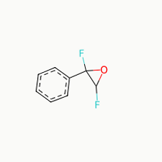 FC1OC1(F)c1ccccc1